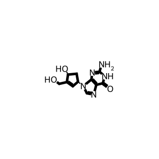 Nc1nc2c(ncn2[C@@H]2C=C(CO)[C@H](O)C2)c(=O)[nH]1